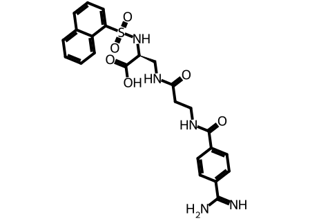 N=C(N)c1ccc(C(=O)NCCC(=O)NC[C@H](NS(=O)(=O)c2cccc3ccccc23)C(=O)O)cc1